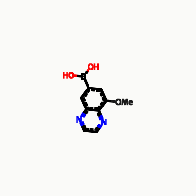 COc1cc(B(O)O)cc2nccnc12